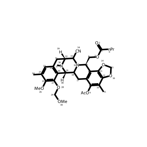 CCCC(=O)OC[C@H]1c2c(c(OC(C)=O)c(C)c3c2OCO3)CC2[C@@H]3c4c(cc(C)c(OC)c4OCOC)C[C@H](C(C#N)N21)N3C